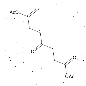 CC(=O)OC(=O)CCC(=O)CCC(=O)OC(C)=O